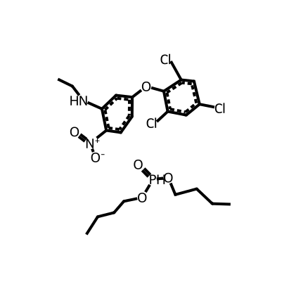 CCCCO[PH](=O)OCCCC.CCNc1cc(Oc2c(Cl)cc(Cl)cc2Cl)ccc1[N+](=O)[O-]